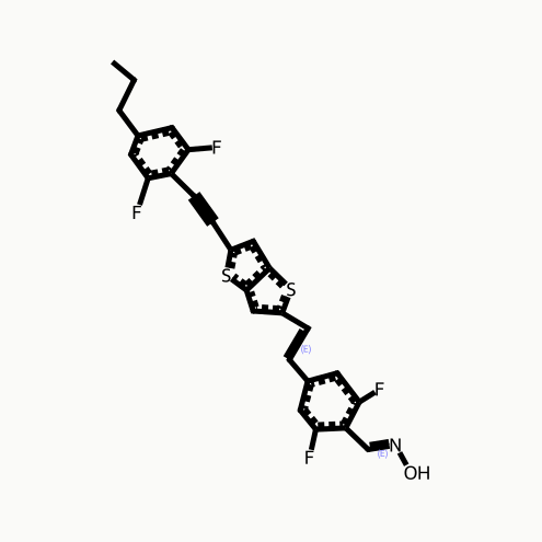 CCCc1cc(F)c(C#Cc2cc3sc(/C=C/c4cc(F)c(/C=N/O)c(F)c4)cc3s2)c(F)c1